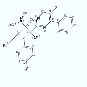 CCC#CC(C(=O)O)([PH](=O)O)C(O)(Cc1ccc(F)cc1)c1ccc(C)c(-c2ccccc2)n1